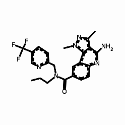 CCCN(Cc1ccc(C(F)(F)F)cn1)C(=O)c1ccc2nc(N)c3c(C)nn(C)c3c2c1